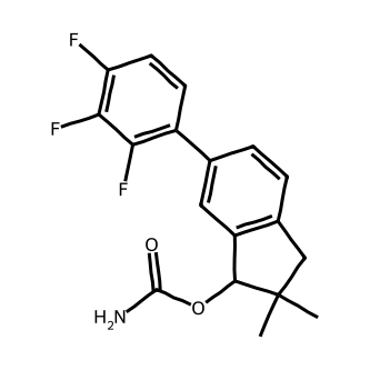 CC1(C)Cc2ccc(-c3ccc(F)c(F)c3F)cc2C1OC(N)=O